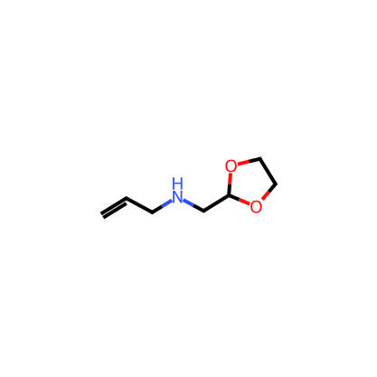 C=CCNCC1OCCO1